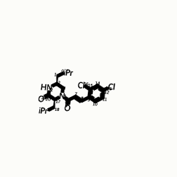 CC(C)C[C@H]1CN(C(=O)C=Cc2ccc(Cl)cc2Cl)[C@@H](CC(C)C)C(=O)N1